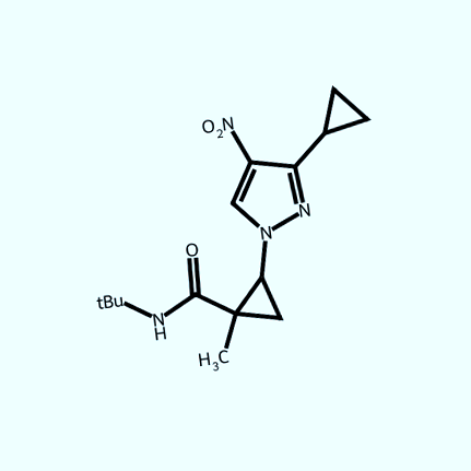 CC(C)(C)NC(=O)C1(C)CC1n1cc([N+](=O)[O-])c(C2CC2)n1